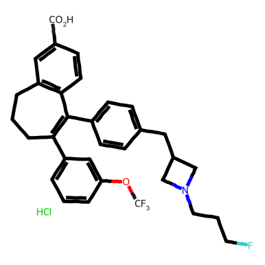 Cl.O=C(O)c1ccc2c(c1)CCCC(c1cccc(OC(F)(F)F)c1)=C2c1ccc(CC2CN(CCCF)C2)cc1